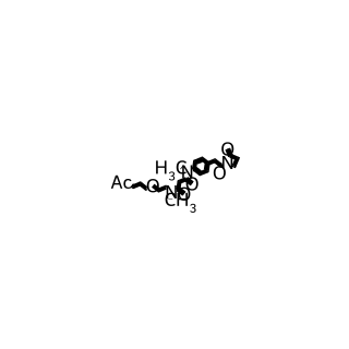 CC(=O)CCCOCCN(C)C(=O)CC(=O)N(C)c1ccc(CC(=O)N2CCC2=O)cc1